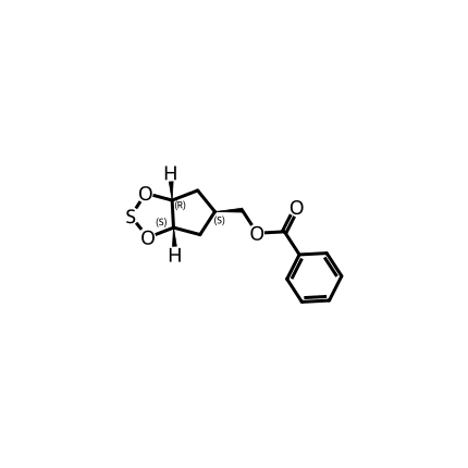 O=C(OC[C@H]1C[C@@H]2OSO[C@@H]2C1)c1ccccc1